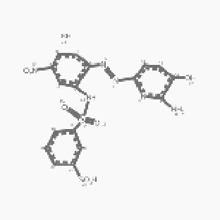 Nc1nc(/N=N/c2ccc([N+](=O)[O-])cc2NS(=O)(=O)c2cccc(S(=O)(=O)O)c2)ccc1O.[KH]